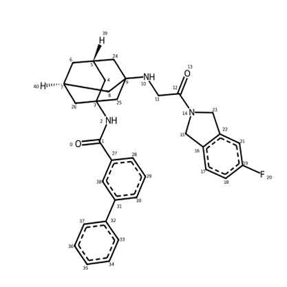 O=C(NC12C[C@@H]3C[C@@H](CC(NCC(=O)N4Cc5ccc(F)cc5C4)(C3)C1)C2)c1cccc(-c2ccccc2)c1